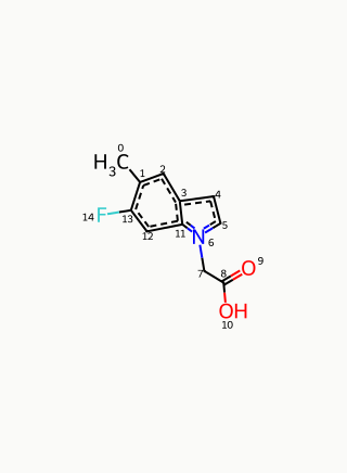 Cc1cc2ccn(CC(=O)O)c2cc1F